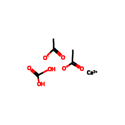 CC(=O)[O-].CC(=O)[O-].O=C(O)O.[Ca+2]